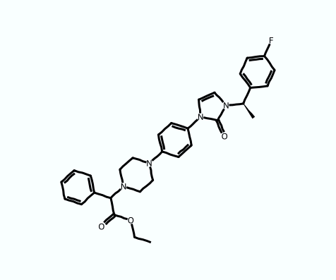 CCOC(=O)C(c1ccccc1)N1CCN(c2ccc(-n3ccn([C@H](C)c4ccc(F)cc4)c3=O)cc2)CC1